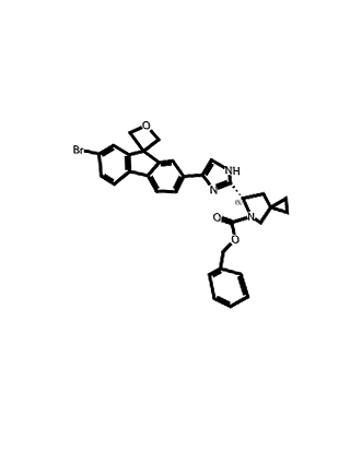 O=C(OCc1ccccc1)N1CC2(CC2)C[C@H]1c1nc(-c2ccc3c(c2)C2(COC2)c2cc(Br)ccc2-3)c[nH]1